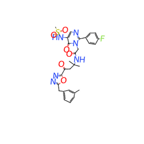 Cc1cccc(Cc2nnc(C(=O)CC(C)(C)NC(=O)Cn3c(-c4ccc(F)cc4)ncc(NS(C)(=O)=O)c3=O)o2)c1